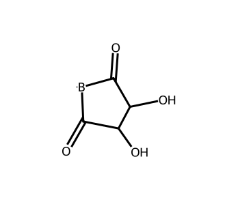 O=C1[B]C(=O)C(O)C1O